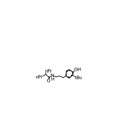 CCCC(CCC)C(=O)NCCCc1ccc(O)c(C(C)(C)C)c1